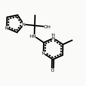 Cc1cc(=O)nc(NC(C)(O)n2ccnc2)[nH]1